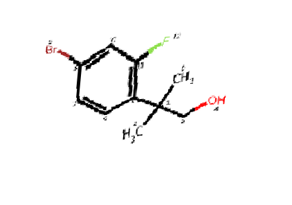 CC(C)(CO)c1ccc(Br)cc1F